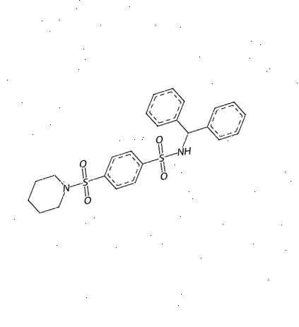 O=S(=O)(NC(c1ccccc1)c1ccccc1)c1ccc(S(=O)(=O)N2CCCCC2)cc1